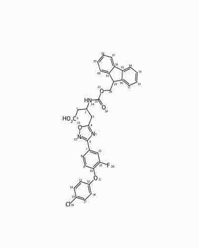 O=C(O)CC(Cc1nc(-c2ccc(Oc3ccc(Cl)cc3)c(F)c2)no1)NC(=O)OCC1c2ccccc2-c2ccccc21